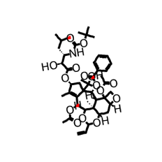 C=CC1O[C@H]2C[C@H]3OCC3(OC(C)=O)[C@H]3[C@H](OC(=O)c4ccccc4)C4(C(C)(C)O)C[C@H](OC(=O)[C@@H](O)[C@H](CC(C)C)NC(=O)OC(C)(C)C)C(C)=C4[C@H](OC(C)=O)[C@H](O1)[C@]23C